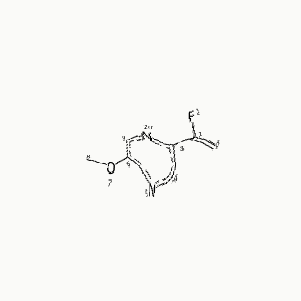 C=C(F)c1cnc(OC)cn1